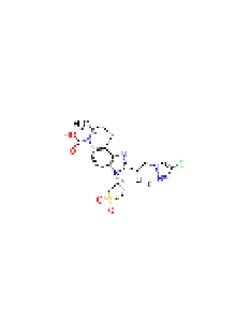 CC(Cn1cc(Cl)cn1)c1nc2c3c(ccc2n1[C@@H]1CCS(=O)(=O)C1)N(C(=O)O)[C@@H](C)CC3